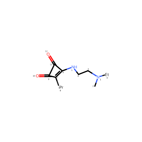 CCN(C)CCNc1c(C(C)C)c(=O)c1=O